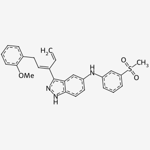 C=C/C(=C\Cc1ccccc1OC)c1n[nH]c2ccc(Nc3cccc(S(C)(=O)=O)c3)cc12